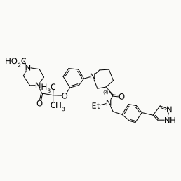 CCN(Cc1ccc(-c2cn[nH]c2)cc1)C(=O)[C@@H]1CCCN(c2cccc(OC(C)(C)C(=O)N3CCN(C(=O)O)CC3)c2)C1